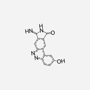 N=C1NC(=O)c2cc3c(cc21)nnc1ccc(O)cc13